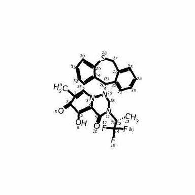 Cc1cn2c(c(O)c1=O)C(=O)N([C@H](C)C(F)(F)F)CN2[C@H]1c2ccccc2CSc2ccccc21